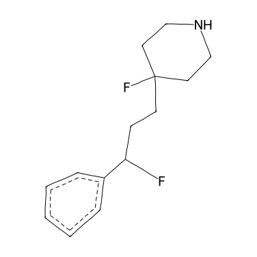 FC(CCC1(F)CCNCC1)c1ccccc1